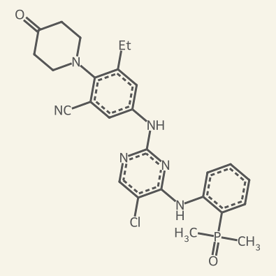 CCc1cc(Nc2ncc(Cl)c(Nc3ccccc3P(C)(C)=O)n2)cc(C#N)c1N1CCC(=O)CC1